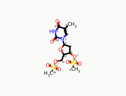 Cc1cn(C2CC(OS(C)(=O)=O)C(COS(C)(=O)=O)O2)c(=O)[nH]c1=O